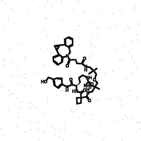 CC(C)(CNC(=O)CCC(=O)N1Cc2ccccc2C2=CC2c2ccccc21)COCC(C)(C)CNC(=O)C1(C(=O)N[C@@H](CCCNC(N)=O)C(=O)Nc2ccc(CO)cc2)CCC1